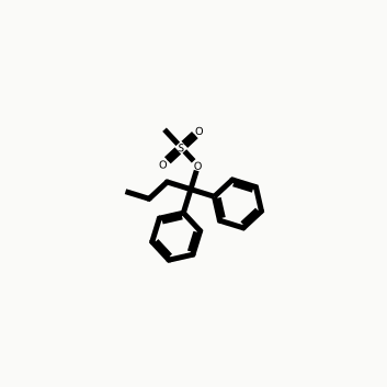 CCCC(OS(C)(=O)=O)(c1ccccc1)c1ccccc1